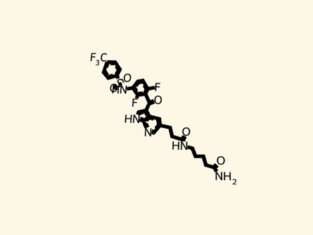 NC(=O)CCCCNC(=O)CCc1cnc2[nH]cc(C(=O)c3c(F)ccc(NS(=O)(=O)c4ccc(C(F)(F)F)cc4)c3F)c2c1